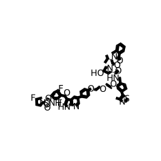 Cc1ncsc1-c1ccc(CNC(=O)[C@@H]2C[C@@H](O)CN2C(=O)[C@H](C(C)C)N2Cc3ccccc3C2=O)c(OCCOCCOc2ccc(-c3cnc4[nH]cc(C(=O)c5c(F)ccc(NS(=O)(=O)N6CC[C@@H](F)C6)c5F)c4c3)cc2)c1